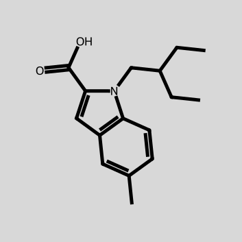 CCC(CC)Cn1c(C(=O)O)cc2cc(C)ccc21